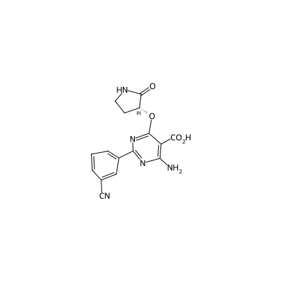 N#Cc1cccc(-c2nc(N)c(C(=O)O)c(O[C@@H]3CCNC3=O)n2)c1